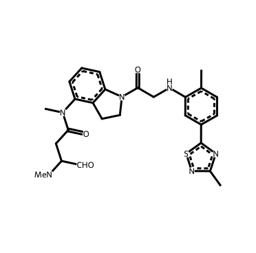 CNC(C=O)CC(=O)N(C)c1cccc2c1CCN2C(=O)CNc1cc(-c2nc(C)ns2)ccc1C